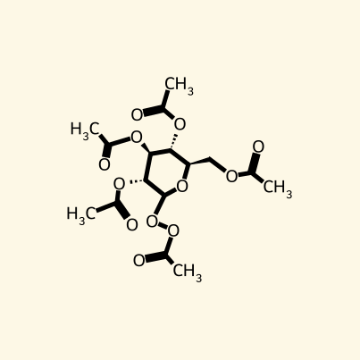 CC(=O)OC[C@H]1OC(OOC(C)=O)[C@H](OC(C)=O)[C@@H](OC(C)=O)[C@@H]1OC(C)=O